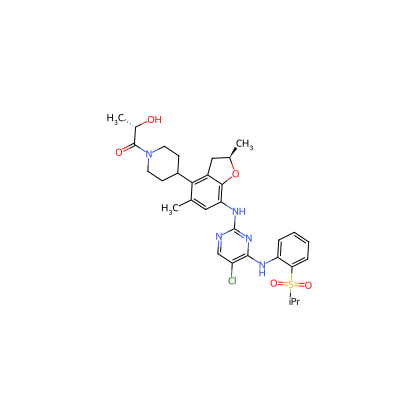 Cc1cc(Nc2ncc(Cl)c(Nc3ccccc3S(=O)(=O)C(C)C)n2)c2c(c1C1CCN(C(=O)[C@H](C)O)CC1)C[C@@H](C)O2